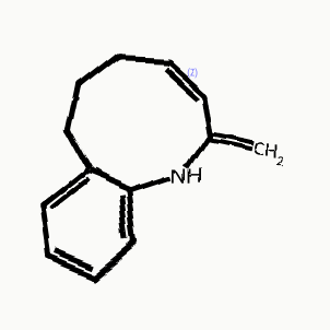 C=C1/C=C\CCCc2ccccc2N1